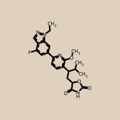 CCn1ncc2c(F)cc(-c3ccc(C(CC4OC(=O)NC4=O)C(C)C)c(OC)n3)cc21